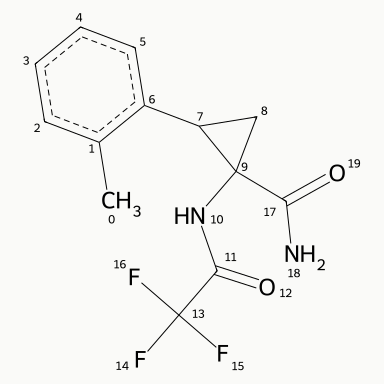 Cc1ccccc1C1CC1(NC(=O)C(F)(F)F)C(N)=O